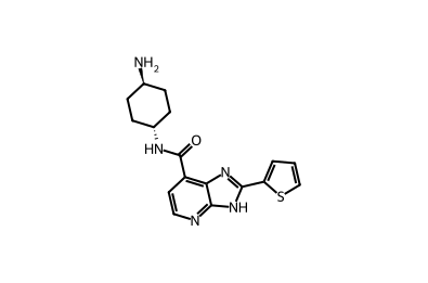 N[C@H]1CC[C@H](NC(=O)c2ccnc3[nH]c(-c4cccs4)nc23)CC1